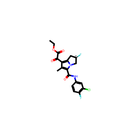 CCOC(=O)C(=O)c1c(C)c(C(=O)Nc2ccc(F)c(Cl)c2)n2c1C[C@@H](F)C2